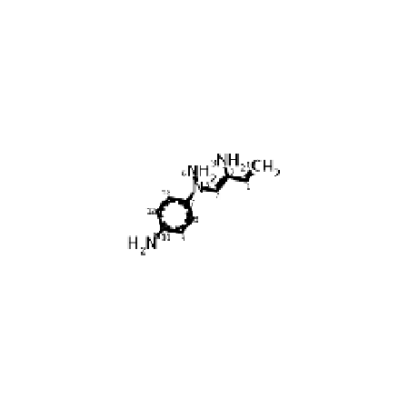 C=C/C(N)=C/N(N)c1ccc(N)cc1